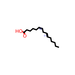 CCCCC/C=C/C/C=C\CCCCC(=O)O